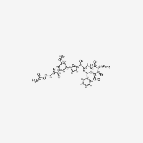 CCCCCC(C(=O)NCNC(=O)c1ccc(-c2cc(OCC)cc(C(=O)NCCOC(N)=O)c2)o1)C(CC)N(C=O)OCc1ccccc1